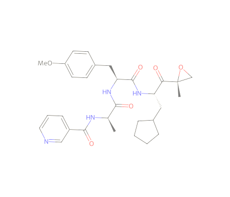 COc1ccc(C[C@H](NC(=O)[C@@H](C)NC(=O)c2cccnc2)C(=O)N[C@@H](CC2CCCC2)C(=O)[C@@]2(C)CO2)cc1